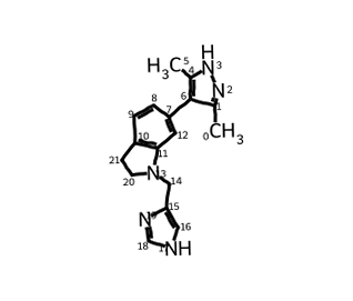 Cc1n[nH]c(C)c1-c1ccc2c(c1)N(Cc1c[nH]cn1)CC2